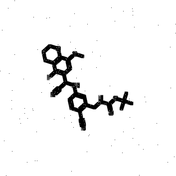 COc1cc(C(C#N)Nc2ccc(C#N)c(CNC(=O)OC(C)(C)C)c2)c(F)c2c1OCCC2